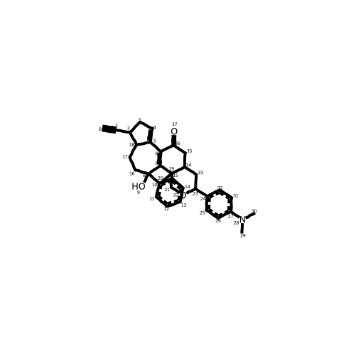 C#CC1CC=C2C3=C(C(O)(c4ccccc4)CCC21)C1(C)COC(c2ccc(N(C)C)cc2)CC1CC3=O